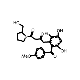 CCc1c(O)cc(O)c(C(=O)c2ccc(OC)cc2)c1CC(=O)CC(=O)N1CCCC1CO